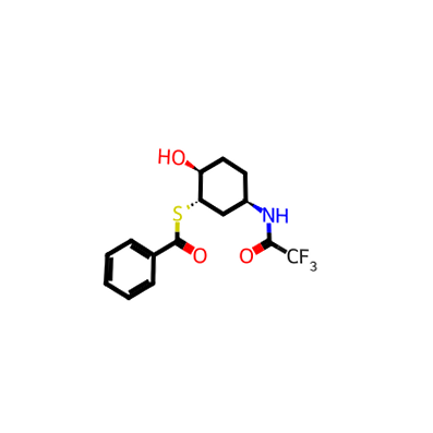 O=C(S[C@H]1C[C@H](NC(=O)C(F)(F)F)CC[C@@H]1O)c1ccccc1